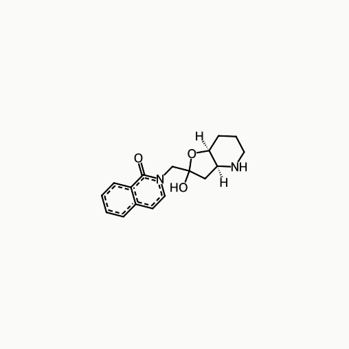 O=c1c2ccccc2ccn1CC1(O)C[C@@H]2NCCC[C@@H]2O1